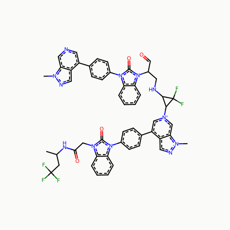 CC(CC(F)(F)F)NC(=O)Cn1c(=O)n(-c2ccc(-c3c[n+](C4C(NCC(C=O)n5c(=O)n(-c6ccc(-c7cncc8c7cnn8C)cc6)c6ccccc65)C4(F)F)cc4c3cnn4C)cc2)c2ccccc21